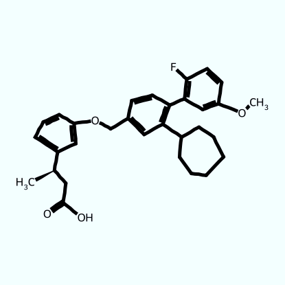 COc1ccc(F)c(-c2ccc(COc3cccc([C@H](C)CC(=O)O)c3)cc2C2CCCCCC2)c1